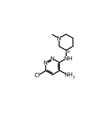 CN1CCC[C@@H](Nc2nnc(Cl)cc2N)C1